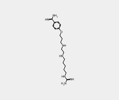 N=C(N)NCCCCCNCCNCCCOc1ccc(C(=N)N)cc1